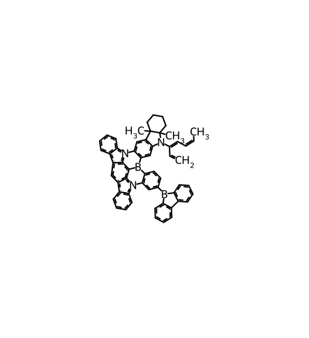 C=C/C(=C\C=C/C)N1c2cc3c(cc2C2(C)CCCCC12C)-n1c2ccccc2c2cc4c5ccccc5n5c4c(c21)B3c1ccc(B2c3ccccc3-c3ccccc32)cc1-5